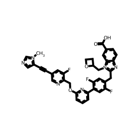 Cn1cncc1C#Cc1cnc(COc2cccc(-c3cc(F)c(Cc4nc5ccc(C(=O)O)cc5n4CC4CCO4)cc3F)n2)c(F)c1